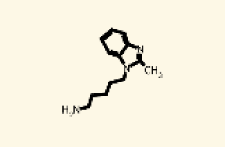 Cc1nc2ccccc2n1CCCCCN